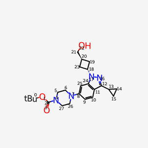 CC(C)(C)OC(=O)N1CCN(c2ccc3c(C4CC4)nn([C@H]4C[C@H](CO)C4)c3c2)CC1